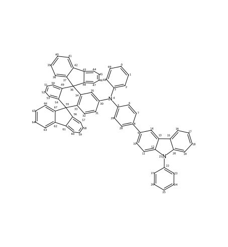 c1ccc(N(c2ccc(-c3ccc4c(c3)c3ccccc3n4-c3ccccc3)cc2)c2ccc3c(c2)C2(c4ccccc4-c4ccccc42)c2ccccc2C32c3ccccc3-c3ccccc32)cc1